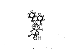 CC1CCC(C(C)N(Cc2ccccc2)C(=O)OCc2ccccc2)OC1O